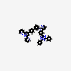 c1ccc(-c2nc(-c3ccccc3)nc(-c3ccc4c(c3)c3cccnc3n4-c3cccc(-c4ccc(-c5cc(-c6ccccn6)nc(-c6ccccn6)c5)cc4)c3)n2)cc1